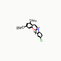 COc1cc(OC)c2c(c1)OC1(C=C2)N(C)c2ccc(Cl)cc2C1(C)C